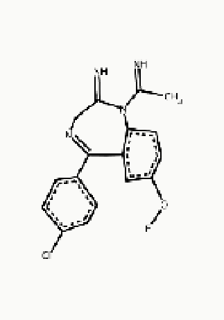 CC(=N)N1C(=N)CN=C(c2ccc(Cl)cc2)c2cc(OF)ccc21